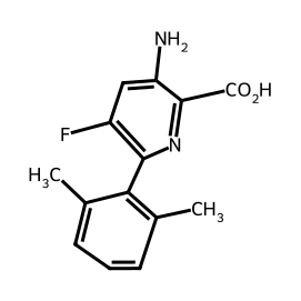 Cc1cccc(C)c1-c1nc(C(=O)O)c(N)cc1F